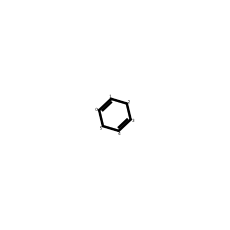 [C]1=[C]CC=CC1